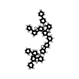 c1ccc(-c2ccc(N(c3ccc4c(c3)oc3cc(-c5cccc(-c6cccc7c6sc6cccc(N(c8ccc(-c9ccccc9)cc8)c8ccc9c(c8)oc8c(-c%10ccccc%10)cccc89)c67)c5)ccc34)c3cccc4sc5c(-c6ccccc6)cccc5c34)cc2)cc1